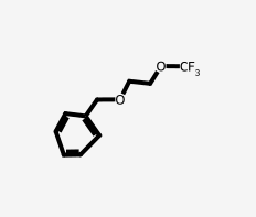 FC(F)(F)OCCOCc1ccccc1